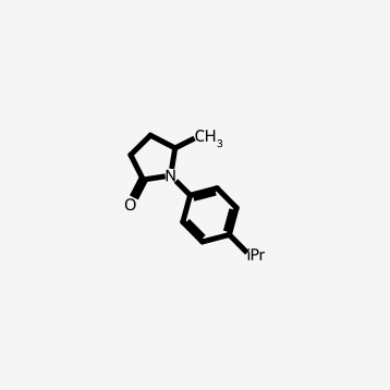 CC(C)c1ccc(N2C(=O)CCC2C)cc1